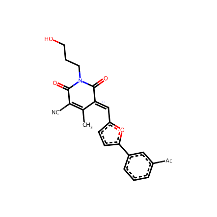 CC(=O)c1cccc(-c2ccc(/C=C3/C(=O)N(CCCO)C(=O)C(C#N)=C3C)o2)c1